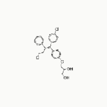 OCC(O)COc1ccc(/C(=C(\CCCl)c2ccccc2)c2ccc(Cl)cc2)cc1